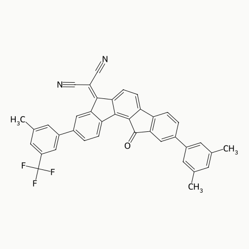 Cc1cc(C)cc(-c2ccc3c(c2)C(=O)c2c-3ccc3c2-c2ccc(-c4cc(C)cc(C(F)(F)F)c4)cc2C3=C(C#N)C#N)c1